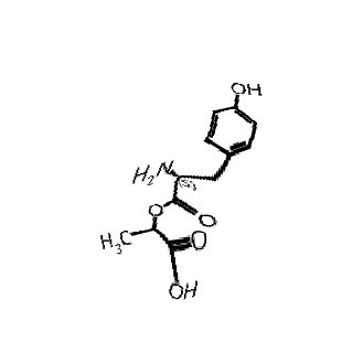 CC(OC(=O)[C@@H](N)Cc1ccc(O)cc1)C(=O)O